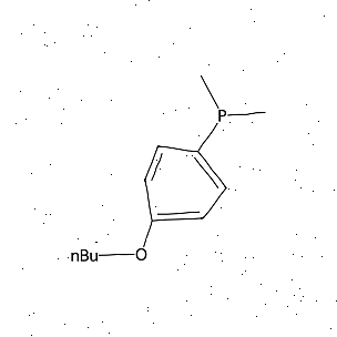 CCCCOc1ccc(P(C)C)cc1